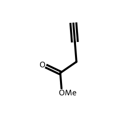 C#CCC(=O)OC